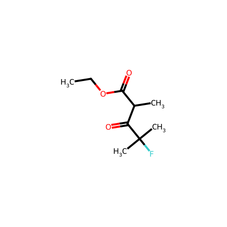 CCOC(=O)C(C)C(=O)C(C)(C)F